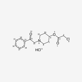 Cl.O=C(CCl)OC1CCN(CC(=O)c2ccccc2)CC1